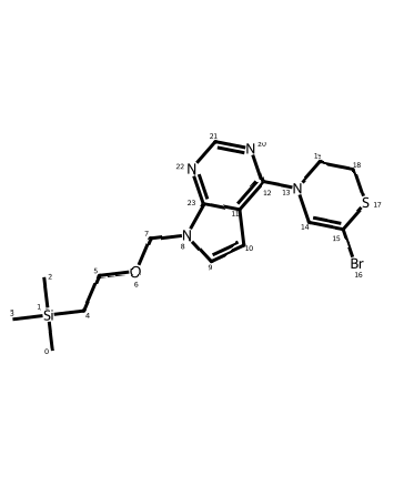 C[Si](C)(C)CCOCn1ccc2c(N3C=C(Br)SCC3)ncnc21